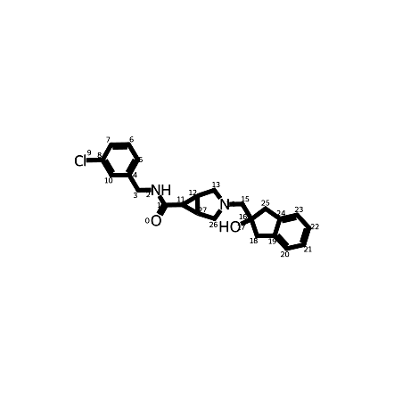 O=C(NCc1cccc(Cl)c1)C1C2CN(CC3(O)Cc4ccccc4C3)CC21